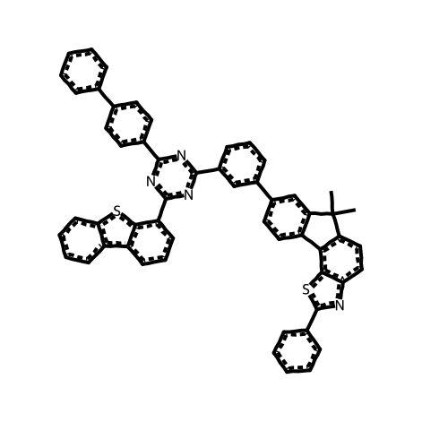 CC1(C)c2cc(-c3cccc(-c4nc(-c5ccc(-c6ccccc6)cc5)nc(-c5cccc6c5sc5ccccc56)n4)c3)ccc2-c2c1ccc1nc(-c3ccccc3)sc21